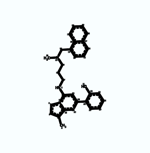 Cc1cnn2c(NCCCN(C)Cc3cccc4ccccc34)cc(-c3ccccc3O)nc12